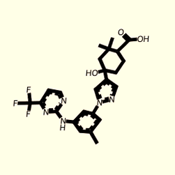 Cc1cc(Nc2nccc(C(F)(F)F)n2)cc(-n2cc(C3(O)CCC(C(=O)O)C(C)(C)C3)cn2)c1